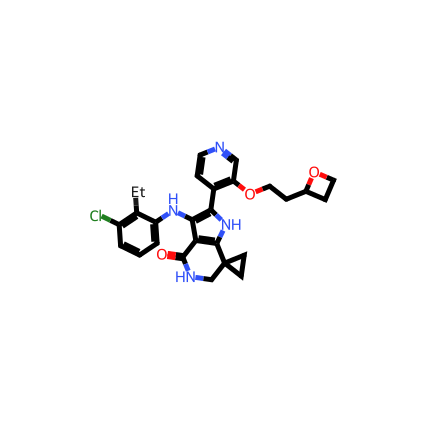 CCc1c(Cl)cccc1Nc1c(-c2ccncc2OCCC2CCO2)[nH]c2c1C(=O)NCC21CC1